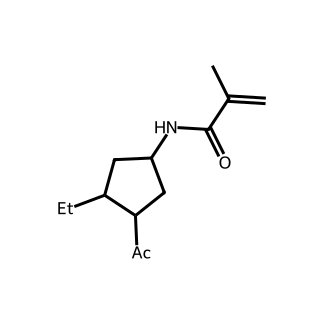 C=C(C)C(=O)NC1CC(CC)C(C(C)=O)C1